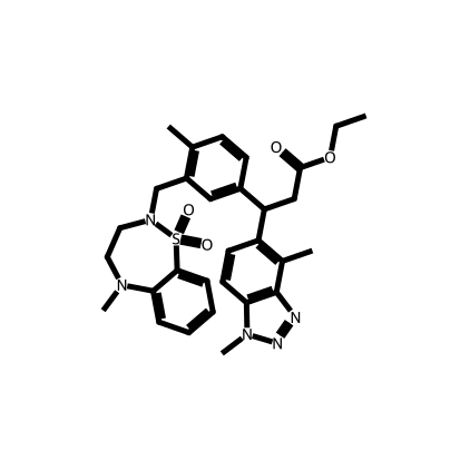 CCOC(=O)CC(c1ccc(C)c(CN2CCN(C)c3ccccc3S2(=O)=O)c1)c1ccc2c(nnn2C)c1C